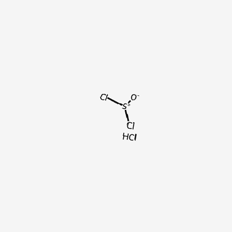 Cl.[O-][S+](Cl)Cl